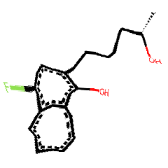 [CH2][C@H](O)CCCc1cc(F)c2ccccc2c1O